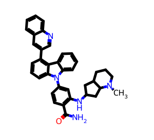 CN1CCCC2CC(Nc3cc(-n4c5ccccc5c5c(-c6cnc7ccccc7c6)cccc54)ccc3C(N)=O)CC21